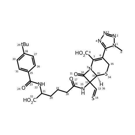 Cn1nnnc1C1=C(C(=O)O)N2C(=O)C(C=S)(NC(=O)CCCC(NC(=O)c3ccc(C(C)(C)C)cc3)C(=O)O)[C@@H]2SC1